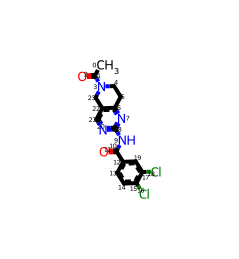 CC(=O)N1CCc2nc(NC(=O)c3ccc(Cl)c(Cl)c3)ncc2C1